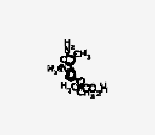 C[C@@H](Cc1cn(C)c2ccc(OC(C)(C)C(=O)O)cc12)C(N)=O